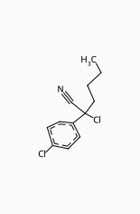 CCCCC(Cl)(C#N)c1ccc(Cl)cc1